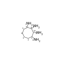 NC1CCCCC(N)C(N)C1N